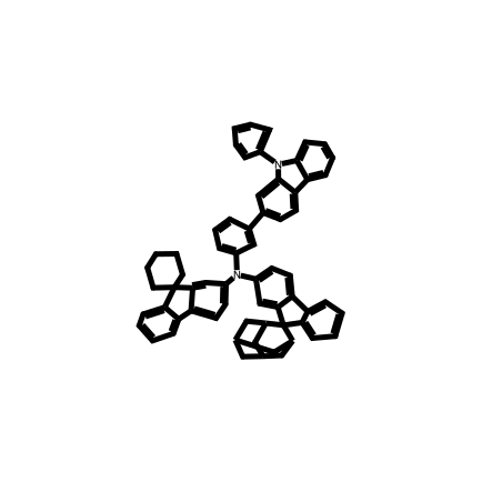 c1ccc(-n2c3ccccc3c3ccc(-c4cccc(N(c5ccc6c(c5)C5(CCCCC5)c5ccccc5-6)c5ccc6c(c5)C5(c7ccccc7-6)C6CC7CC(C6)CC5C7)c4)cc32)cc1